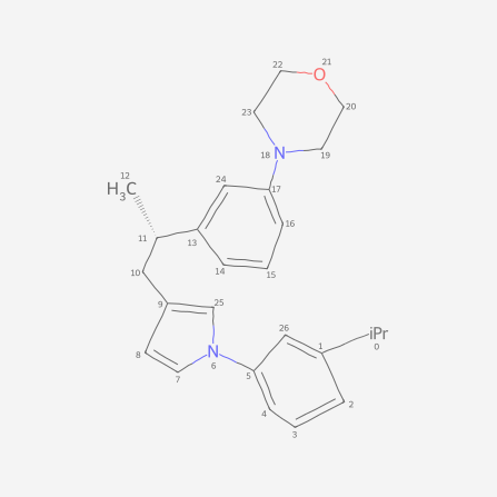 CC(C)c1cccc(-n2ccc(C[C@H](C)c3cccc(N4CCOCC4)c3)c2)c1